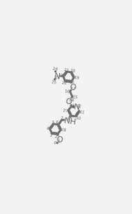 COc1cccc(CNc2ccnc(OCCOc3cccc(N(C)C)c3)c2)c1